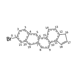 Brc1ccc2cc3c(ccc4c5c(ccc43)CC=C5)cc2c1